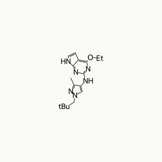 CCOc1nc(Nc2cn(CC(C)(C)C)nc2C)nc2[nH]ccc12